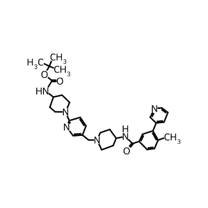 Cc1ccc(C(=O)NC2CCN(Cc3ccc(N4CCC(NC(=O)OC(C)(C)C)CC4)nc3)CC2)cc1-c1cccnc1